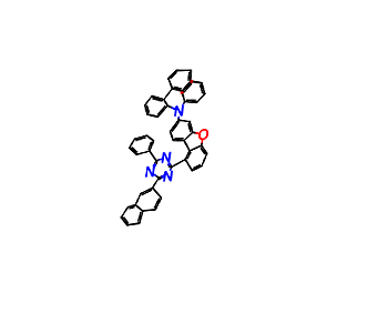 c1ccc(-c2nc(-c3ccc4ccccc4c3)nc(-c3cccc4oc5cc(N(c6ccccc6)c6ccccc6-c6ccccc6)ccc5c34)n2)cc1